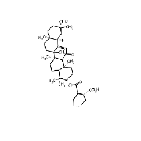 CC1(C)C2CC[C@]3(C)C(C(=O)C=C4[C@@H]5C[C@@](C)(C=O)CC[C@]5(C)CCC43C)[C@@]2(C)CC[C@@H]1OC(=O)[C@@H]1CCCC[C@H]1C(=O)O